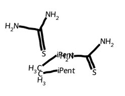 CCCC(C)C.CCCC(C)C.NC(N)=S.NC(N)=S